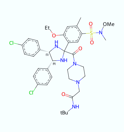 CCOc1cc(C)c(S(=O)(=O)N(C)OC)cc1C1(C(=O)N2CCN(CC(=O)NC(C)(C)C)CC2)N[C@H](c2ccc(Cl)cc2)[C@H](c2ccc(Cl)cc2)N1